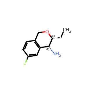 CC[C@H]1OCc2ccc(F)cc2[C@H]1N